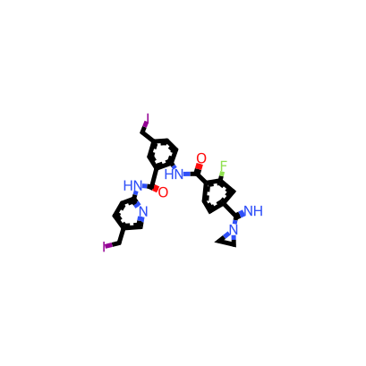 N=C(c1ccc(C(=O)Nc2ccc(CI)cc2C(=O)Nc2ccc(CI)cn2)c(F)c1)N1CC1